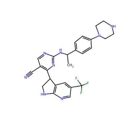 CC(Nc1ncc(C#N)c(C2CNc3ncc(C(F)(F)F)cc32)n1)c1ccc(N2CCNCC2)cc1